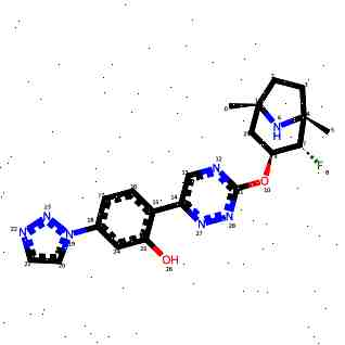 C[C@@]12CC[C@@](C)(N1)[C@H](F)[C@@H](Oc1ncc(-c3ccc(-n4ccnn4)cc3O)nn1)C2